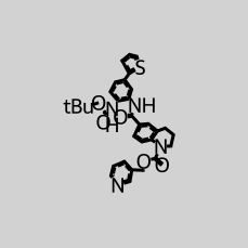 CC(C)(C)OC(=O)Nc1ccc(-c2cccs2)cc1NC(=O)c1ccc2c(c1)CCCN2C(=O)OCc1cccnc1